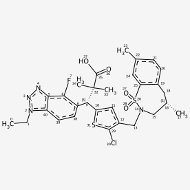 CCn1nnc2c(F)c([C@@H](c3cc(CN4C[C@@H](C)Cc5ccc(C)cc5S4(=O)=O)c(Cl)s3)C(C)(C)C(=O)O)ccc21